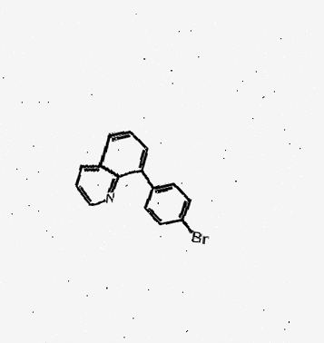 Brc1ccc(-c2cccc3cccnc23)cc1